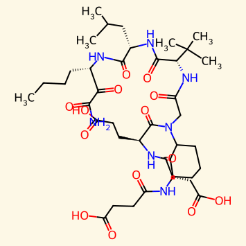 CCCC[C@H](NC(=O)[C@H](CC(C)C)NC(=O)[C@@H](NC(=O)CN(C(=O)[C@H](CCC(=O)O)NC(=O)[C@H](CC(=O)O)NC(=O)CCC(=O)O)C1CCCCC1)C(C)(C)C)C(=O)C(N)=O